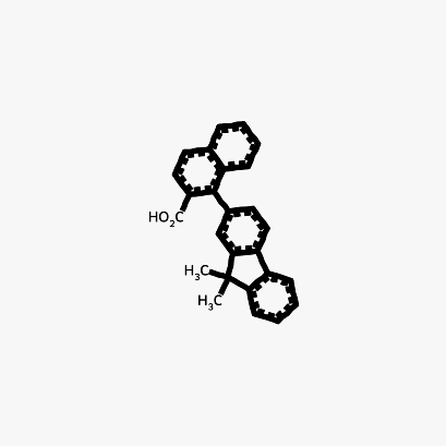 CC1(C)c2ccccc2-c2ccc(-c3c(C(=O)O)ccc4ccccc34)cc21